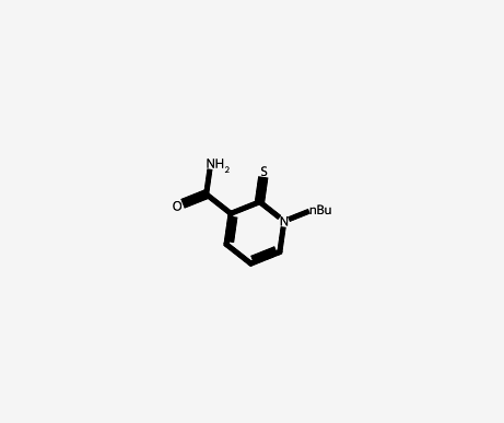 CCCCn1cccc(C(N)=O)c1=S